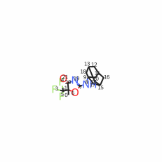 CC1(C(F)(F)F)OC(NC23CC4CC(CC(C4)C2)C3)=NC1=O